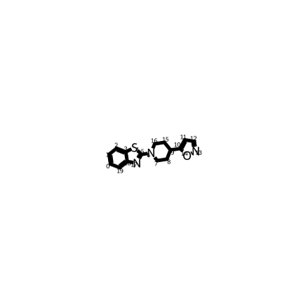 c1ccc2sc(N3CCC(c4ccno4)CC3)nc2c1